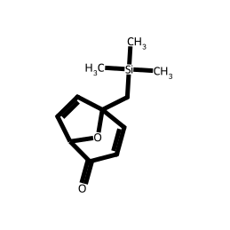 C[Si](C)(C)CC12C=CC(=O)C(C=C1)O2